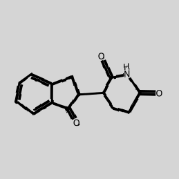 O=C1CCC(C2Cc3ccccc3C2=O)C(=O)N1